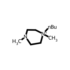 CCCC[N+]1(C)CCN(C)CC1